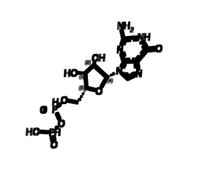 Nc1nc2c(ncn2[C@@H]2O[C@H](CO[PH](=O)O[PH](=O)O)[C@@H](O)[C@H]2O)c(=O)[nH]1